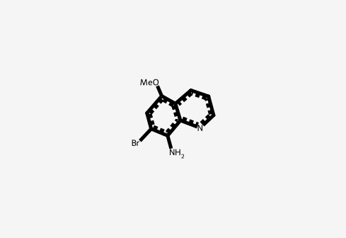 COc1cc(Br)c(N)c2ncccc12